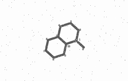 CN1CCCC2CCCCC21